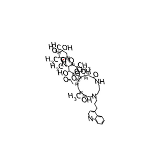 CO[C@@H]1[C@@H](O[C@@H]2OC(C)[C@@H](O[C@H]3CC(C)(O)[C@@H](O)C(C)O3)C(N(C)C)C2O)[C@@H](CC=O)C[C@@H](C)[C@@H](O)CN(CCCc2ccnc3ccccc23)CCCNC(=O)C[C@H]1O